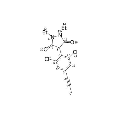 CC#Cc1cc(Cl)c(C2C(=O)N(CC)N(CC)C2=O)c(Cl)c1